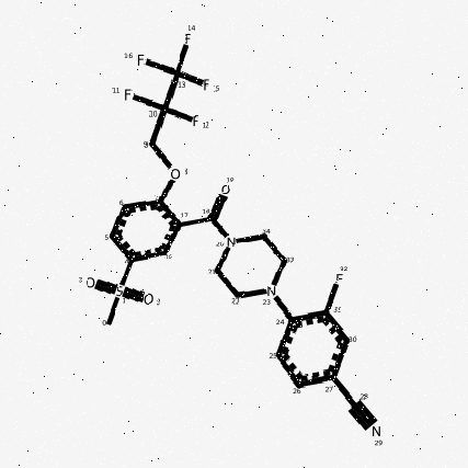 CS(=O)(=O)c1ccc(OCC(F)(F)C(F)(F)F)c(C(=O)N2CCN(c3ccc(C#N)cc3F)CC2)c1